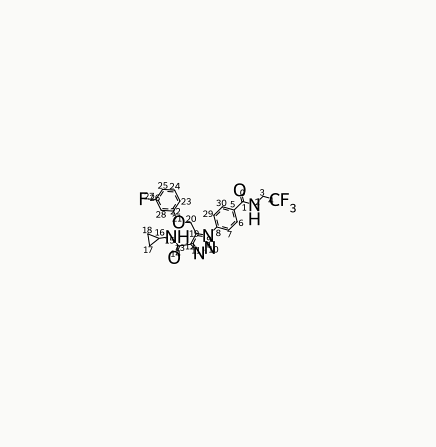 O=C(NCC(F)(F)F)c1ccc(-n2nnc(C(=O)NC3CC3)c2COc2cccc(F)c2)cc1